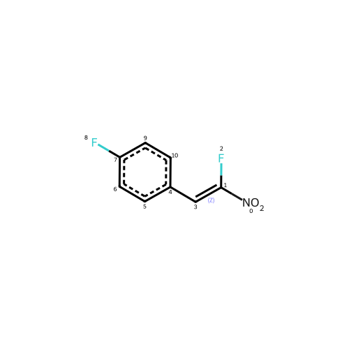 O=[N+]([O-])/C(F)=C/c1ccc(F)cc1